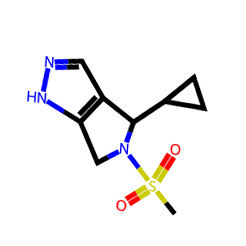 CS(=O)(=O)N1Cc2[nH]ncc2C1C1CC1